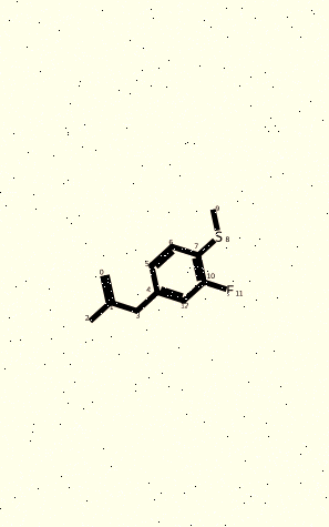 C=C(C)Cc1ccc(SC)c(F)c1